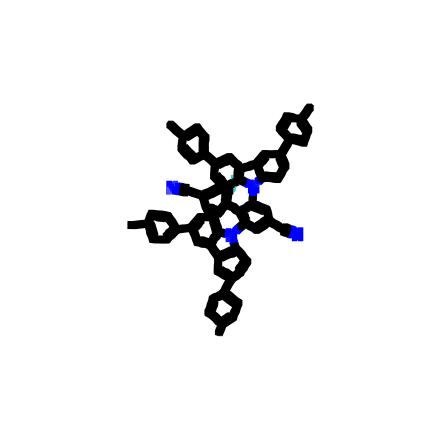 Cc1ccc(-c2ccc3c(c2)c2cc(-c4ccc(C)cc4)ccc2n3-c2cc(C#N)cc(-n3c4ccc(-c5ccc(C)cc5)cc4c4cc(-c5ccc(C)cc5)ccc43)c2-c2ccc(C#N)cc2F)cc1